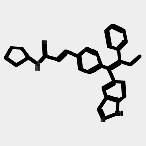 CC/C(=C(/c1ccc(/C=C/C(=O)NC2CCCC2)cc1)c1ccc2[nH]ncc2c1)c1ccccc1